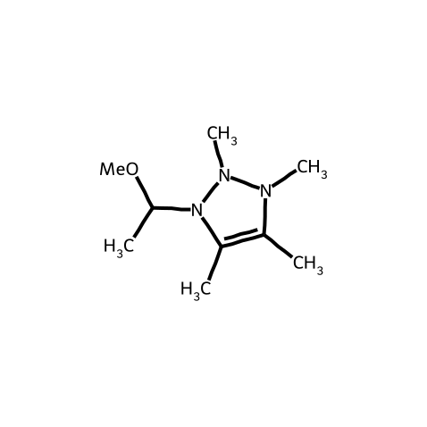 COC(C)N1C(C)=C(C)N(C)N1C